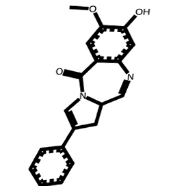 COc1cc2c(cc1O)N=CC1CC(c3ccccc3)=CN1C2=O